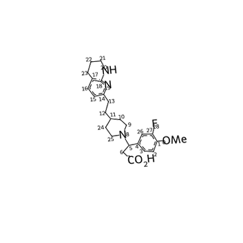 COc1ccc(C(CC(=O)O)N2CCC(CCc3ccc4c(n3)NCCC4)CC2)cc1F